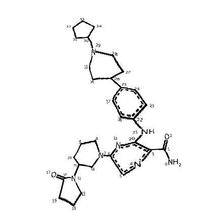 NC(=O)c1ncc(N2CCCC(N3CCCC3=O)C2)nc1Nc1ccc(C2CCN(C3CCCC3)CC2)cc1